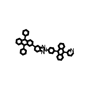 c1ccc(-c2c3ccccc3c(-c3ccccc3)c3cc(-c4ccc5nn(-c6ccc(-c7c8ccccc8c(-c8cccnc8)c8ccccc78)cc6)nc5c4)ccc23)cc1